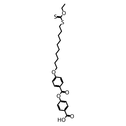 CCOC(=S)SCCCCCCCCCCOc1ccc(C(=O)Oc2ccc(C(=O)O)cc2)cc1